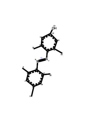 Cc1cc(C)c(/N=N/c2c(C)cc(O)cc2C)c(C)c1